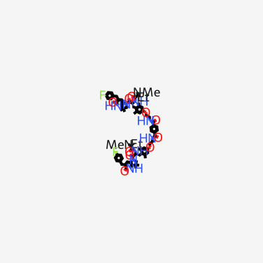 CC[C@H](NC)C(=O)N[C@@H](Cc1c(C)cc(OCCNC(=O)c2ccc(C(=O)NCCOc3cc(C)c(C[C@H](NC(=O)[C@H](CC)NC)C(=O)N4CC(C)(C)c5[nH]c(=O)c(Cc6ccc(F)cc6)cc54)c(C)c3)cc2)cc1C)C(=O)N1CC(C)(C)c2[nH]c(=O)c(Cc3ccc(F)cc3)cc21